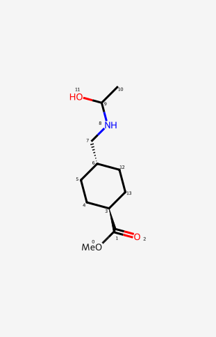 COC(=O)[C@H]1CC[C@H](CNC(C)O)CC1